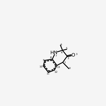 CC1C(=O)C(C)(C)Nc2ccccc21